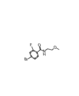 COCCNC(=O)c1ccc(Br)cc1F